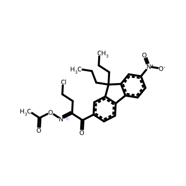 CCCC1(CCC)c2cc(C(=O)/C(CCCl)=N/OC(C)=O)ccc2-c2ccc([N+](=O)[O-])cc21